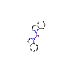 c1ccc2c(c1)ccn2Pn1ccc2ccccc21